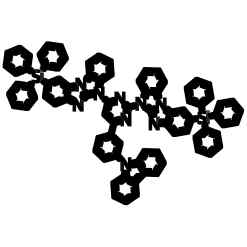 c1ccc([Si](c2ccccc2)(c2ccccc2)c2ccc3nc4n(-c5cc(-c6cccc(-n7c8ccccc8c8ccccc87)c6)nc(-n6c7ccccc7n7c8cc([Si](c9ccccc9)(c9ccccc9)c9ccccc9)ccc8nc67)n5)c5ccccc5n4c3c2)cc1